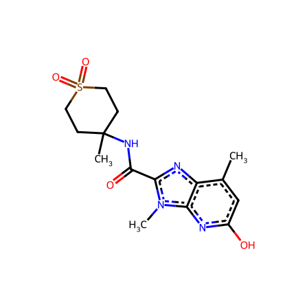 Cc1cc(O)nc2c1nc(C(=O)NC1(C)CCS(=O)(=O)CC1)n2C